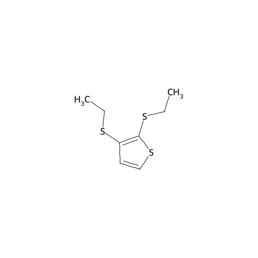 CCSc1ccsc1SCC